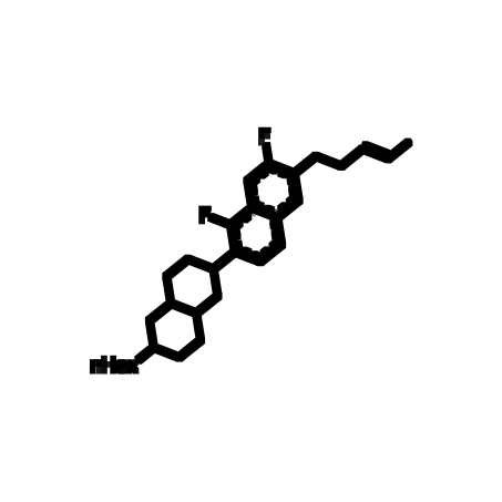 CC=CCCc1cc2ccc(C3CCC4CC(CCCCCC)CCC4C3)c(F)c2cc1F